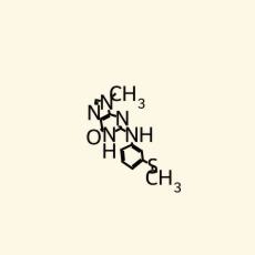 CSc1cccc(Nc2nc3c(ncn3C)c(=O)[nH]2)c1